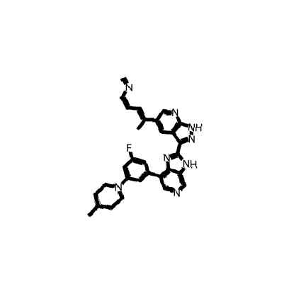 C=N/C=C\C=C(/C)c1cnc2[nH]nc(-c3nc4c(-c5cc(F)cc(N6CCC(C)CC6)c5)cncc4[nH]3)c2c1